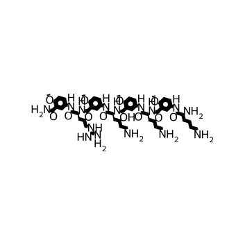 COc1ccc(NC(=O)[C@H](CCCNC(=N)N)NC(=O)c2cc(NC(=O)[C@H](CCCCN)NC(O)c3cc(NC(=O)[C@H](CCCCN)NC(=O)c4cc(NC(=O)[C@@H](N)CCCCN)ccc4OC)ccc3OC)ccc2OC)cc1C(N)=O